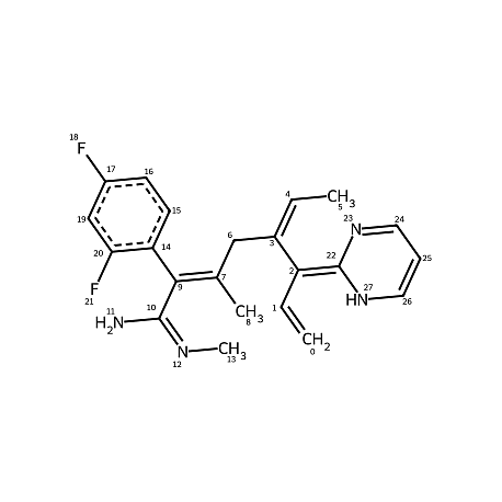 C=CC(/C(=C\C)C/C(C)=C(/C(N)=N\C)c1ccc(F)cc1F)=C1/N=CC=CN1